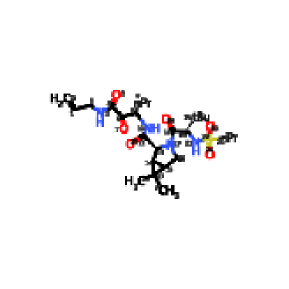 C=CCNC(=O)C(=O)C(CCC)NC(=O)[C@@H]1C2C(CN1C(=O)[C@@H](NS(=O)(=O)C(C)C)C(C)(C)C)C2(C)C